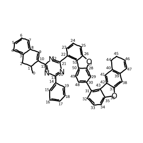 CC1Cc2ccccc2C=C1c1nc(-c2ccccc2)nc(-c2cccc3oc4cc(-c5cccc6oc7cc8c(cc7c56)CCC=C8)ccc4c23)n1